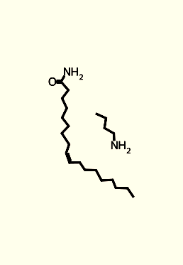 CCCCCCCC/C=C\CCCCCCCC(N)=O.CCCCN